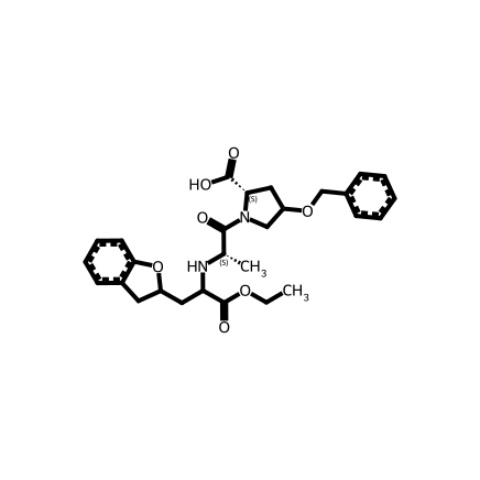 CCOC(=O)C(CC1Cc2ccccc2O1)N[C@@H](C)C(=O)N1CC(OCc2ccccc2)C[C@H]1C(=O)O